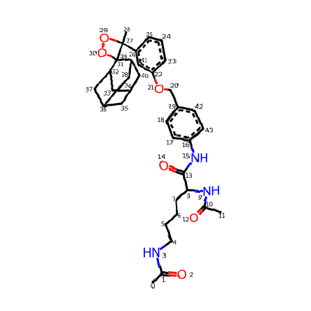 CC(=O)NCCCCC(NC(C)=O)C(=O)Nc1ccc(COc2cccc(C3(C)OOC34C3CC5CC(C3)CC4C5)c2)cc1